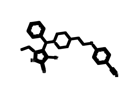 CCn1[nH]c(=O)c(Br)c1C(c1ccccc1)N1CCC(CCOc2ccc(C#N)cc2)CC1